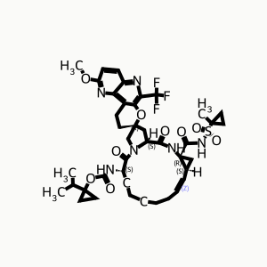 COc1ccc2nc(C(F)(F)F)c3c(c2n1)CC[C@]1(C[C@H]2C(=O)N[C@]4(C(=O)NS(=O)(=O)C5(C)CC5)C[C@H]4/C=C\CCCCC[C@H](NC(=O)OC4(C(C)C)CC4)C(=O)N2C1)O3